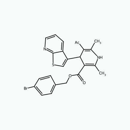 CC(=O)C1=C(C)NC(C)=C(C(=O)OCc2ccc(Br)cc2)C1c1csc2ncccc12